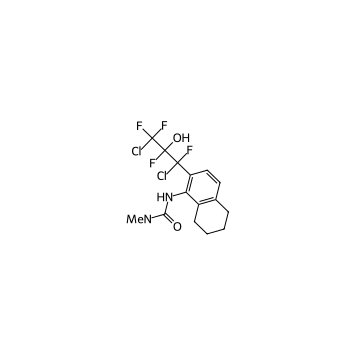 CNC(=O)Nc1c(C(F)(Cl)C(O)(F)C(F)(F)Cl)ccc2c1CCCC2